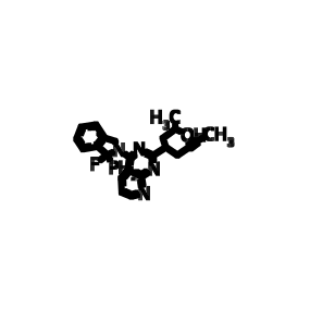 CC#CCC(CC(C)O)c1nc(N2Cc3ccccc3C2(F)P)c2cccnc2n1